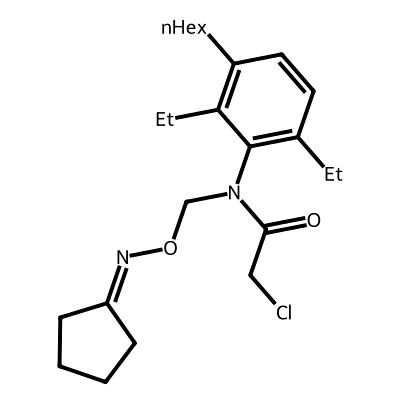 CCCCCCc1ccc(CC)c(N(CON=C2CCCC2)C(=O)CCl)c1CC